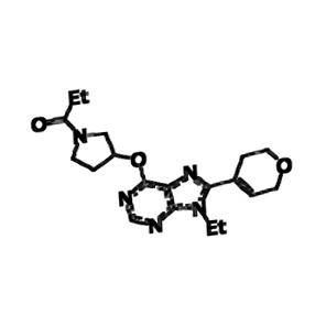 CCC(=O)N1CCC(Oc2ncnc3c2nc(C2=CCOCC2)n3CC)C1